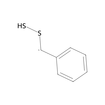 SS[CH]c1ccccc1